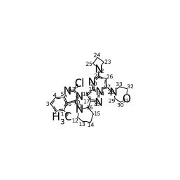 Cc1cccc2nc(Cl)nc(N3CCCCC3c3cc4nc(N5CCC5)cc(N5CCOCC5)n4n3)c12